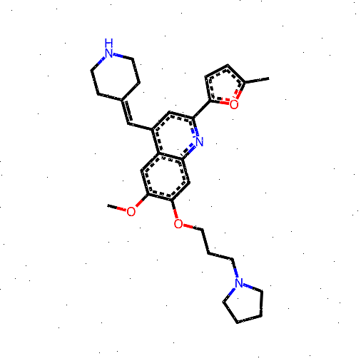 COc1cc2c(C=C3CCNCC3)cc(-c3ccc(C)o3)nc2cc1OCCCN1CCCC1